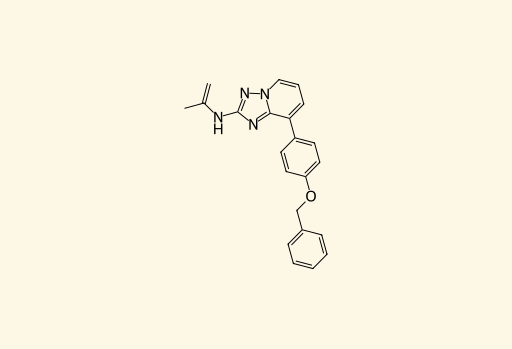 C=C(C)Nc1nc2c(-c3ccc(OCc4ccccc4)cc3)cccn2n1